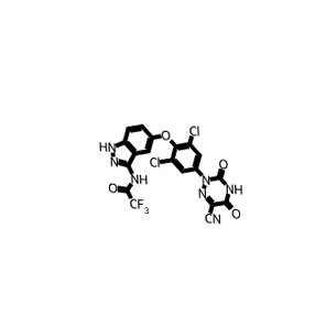 N#Cc1nn(-c2cc(Cl)c(Oc3ccc4[nH]nc(NC(=O)C(F)(F)F)c4c3)c(Cl)c2)c(=O)[nH]c1=O